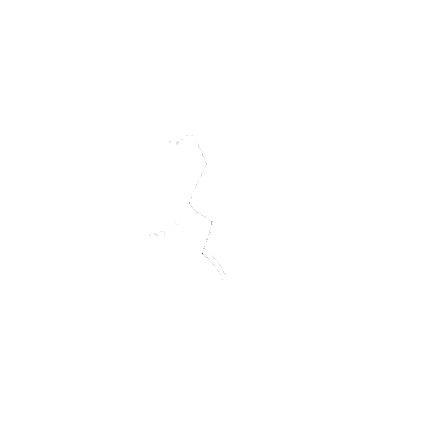 C=CCCCCCC.S.[BiH3]